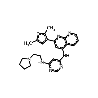 Cc1cc(-c2cc(Nc3cc(NCCN4CCCC4)ncn3)c3cccnc3n2)c(C)o1